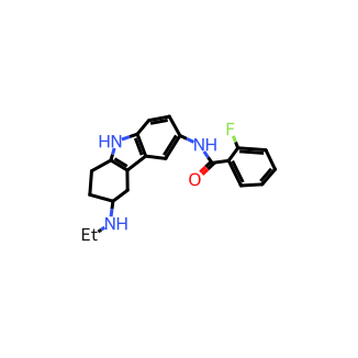 CCNC1CCc2[nH]c3ccc(NC(=O)c4ccccc4F)cc3c2C1